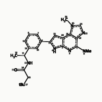 CNc1nc2[nH]c(-c3cccc(C(C)NC(=O)CC(C)(C)C)c3)cc2c2c1ncn2C